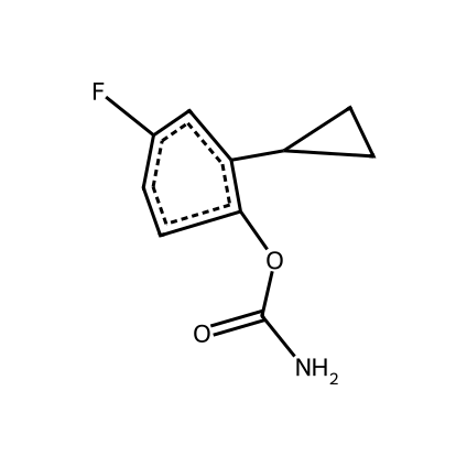 NC(=O)Oc1ccc(F)cc1C1CC1